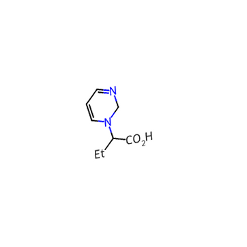 CCC(C(=O)O)N1C=CC=NC1